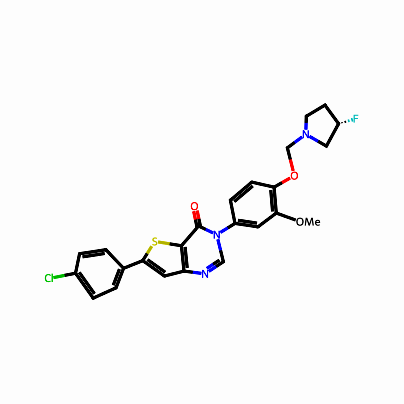 COc1cc(-n2cnc3cc(-c4ccc(Cl)cc4)sc3c2=O)ccc1OCN1CC[C@H](F)C1